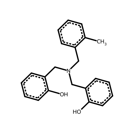 Cc1ccccc1CN(Cc1ccccc1O)Cc1ccccc1O